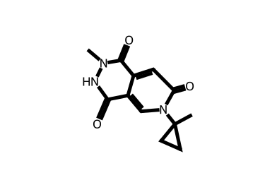 Cn1[nH]c(=O)c2cn(C3(C)CC3)c(=O)cc2c1=O